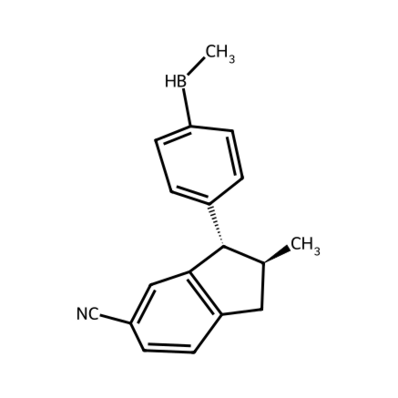 CBc1ccc([C@H]2c3cc(C#N)ccc3C[C@@H]2C)cc1